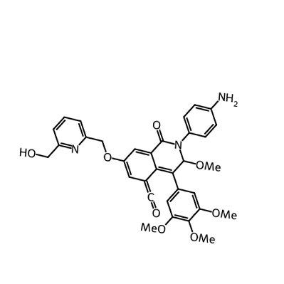 COc1cc(C2=c3c(cc(OCc4cccc(CO)n4)cc3=C=O)C(=O)N(c3ccc(N)cc3)C2OC)cc(OC)c1OC